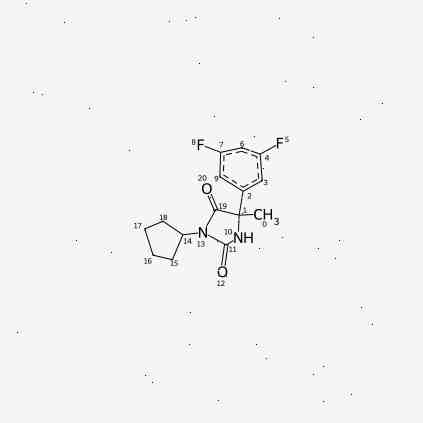 CC1(c2cc(F)cc(F)c2)NC(=O)N(C2CCCC2)C1=O